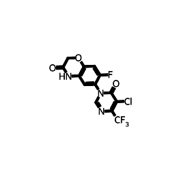 O=C1COc2cc(F)c(-n3cnc(C(F)(F)F)c(Cl)c3=O)cc2N1